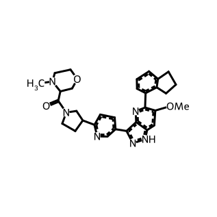 COc1cc2[nH]nc(-c3ccc(C4CCN(C(=O)C5COCCN5C)C4)nc3)c2nc1-c1cccc2c1CCC2